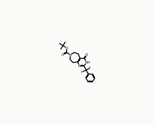 CC(C)(C)OC(=O)N1CCc2nc(C(F)(F)c3ccccc3)[nH]c(=O)c2CC1